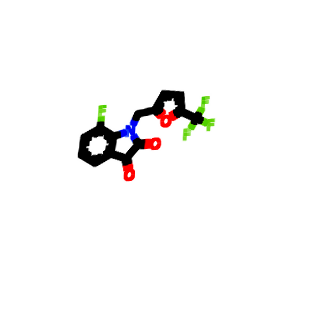 O=C1C(=O)N(Cc2ccc(C(F)(F)F)o2)c2c(F)cccc21